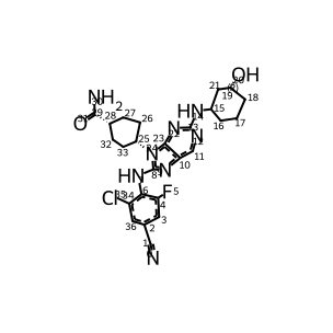 N#Cc1cc(F)c(Nc2nc3cnc(NC4CCC[C@@H](O)C4)nc3n2[C@H]2CC[C@@H](C(N)=O)CC2)c(Cl)c1